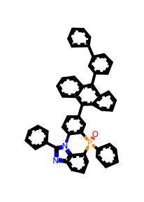 O=P1(c2ccccc2)c2cc(-c3c4ccccc4c(-c4cccc(-c5ccccc5)c4)c4ccccc34)ccc2-n2c(-c3ccccc3)nc3cccc1c32